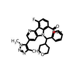 COC(=O)c1ccc(F)c2c3ncc(-c4c(C)nnn4C)cc3n(C(c3ccccc3)C3CCOCC3)c12